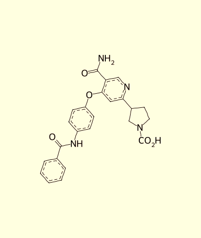 NC(=O)c1cnc(C2CCN(C(=O)O)C2)cc1Oc1ccc(NC(=O)c2ccccc2)cc1